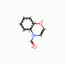 O=CN1C=COc2ccccc21